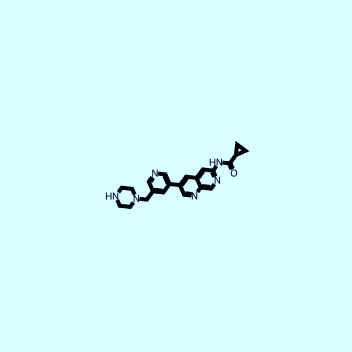 O=C(Nc1cc2cc(-c3cncc(CN4CCNCC4)c3)cnc2cn1)C1CC1